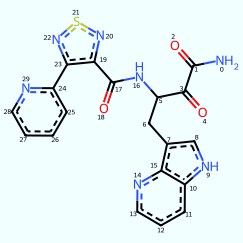 NC(=O)C(=O)C(Cc1c[nH]c2cccnc12)NC(=O)c1nsnc1-c1ccccn1